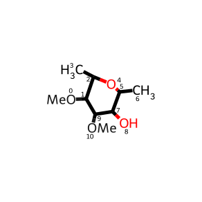 COC1C(C)OC(C)C(O)C1OC